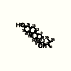 C=C(CCC(C)(O)C1CCC2C3=CCC4CC(O)CCC4(C)C3CCC21C)C(C)C